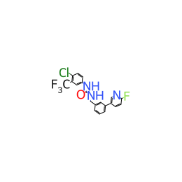 O=C(NCc1cccc(-c2ccc(F)nc2)c1)Nc1ccc(Cl)c(C(F)(F)F)c1